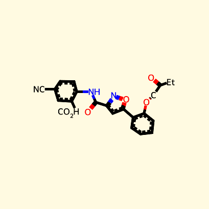 CCC(=O)COc1ccccc1-c1cc(C(=O)Nc2ccc(C#N)cc2C(=O)O)no1